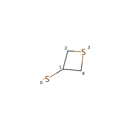 [S]C1CSC1